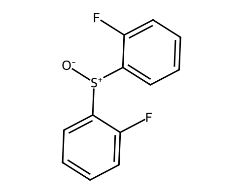 [O-][S+](c1ccccc1F)c1ccccc1F